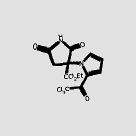 CCOC(=O)C1(n2cccc2C(=O)C(Cl)(Cl)Cl)CC(=O)NC1=O